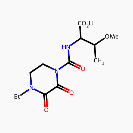 CCN1CCN(C(=O)NC(C(=O)O)C(C)OC)C(=O)C1=O